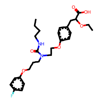 CCCCNC(=O)N(CCCOc1ccc(F)cc1)CCOc1ccc(CC(OCC)C(=O)O)cc1